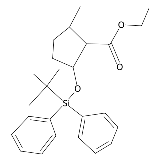 CCOC(=O)C1C(C)CCC1O[Si](c1ccccc1)(c1ccccc1)C(C)(C)C